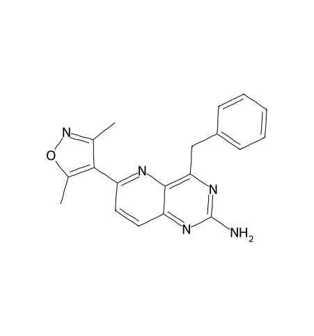 Cc1noc(C)c1-c1ccc2nc(N)nc(Cc3ccccc3)c2n1